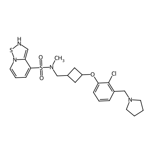 CN(CC1CC(Oc2cccc(CN3CCCC3)c2Cl)C1)S(=O)(=O)C1=CC=CN2SNC=C12